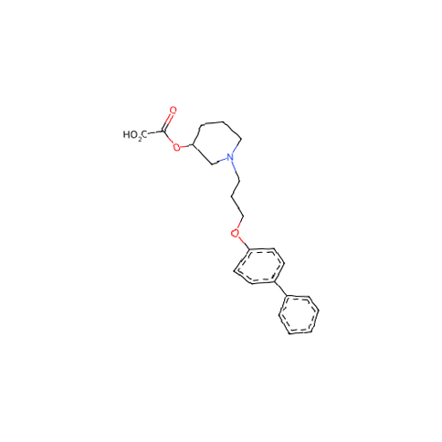 O=C(O)C(=O)OC1CCCN(CCCOc2ccc(-c3ccccc3)cc2)C1